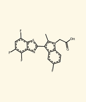 Cc1c(-c2nc3c(F)c(F)cc(F)c3s2)c2cc(F)ccc2n1CC(=O)O